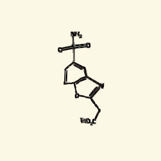 CCOC(=O)Cc1nc2cc(S(N)(=O)=O)ccc2o1